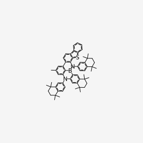 Cc1cc2c3c(c1)N(c1ccc4c(c1)C(C)(C)CCC4(C)C)c1cc4c(cc1B3N(c1ccc3c(c1)C(C)(C)CCC3(C)C)c1c-2ccc2c1sc1ccccc12)C(C)(C)CCC4(C)C